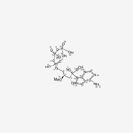 C#C[C@@](O)([C@H](O)[C@H](COP(=O)(O)OP(=O)(O)OP(=O)(O)O)OC)n1ccc2c(N)ncnc21